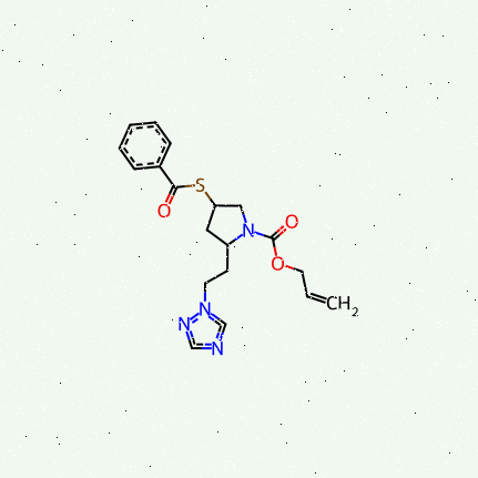 C=CCOC(=O)N1CC(SC(=O)c2ccccc2)CC1CCn1cncn1